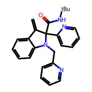 C=C1c2ccccc2N(Cc2ccccn2)C1(C(=O)NC(C)(C)C)c1ccccn1